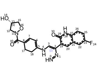 N=N/C(=C\NC1=CC=C(C(=O)N2C[C@H](O)CO2)CC1)c1cc2cc(F)ccc2[nH]c1=O